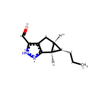 CCC[C@H]1[C@@H]2Cc3c(n[nH]c3C=O)[C@H]12